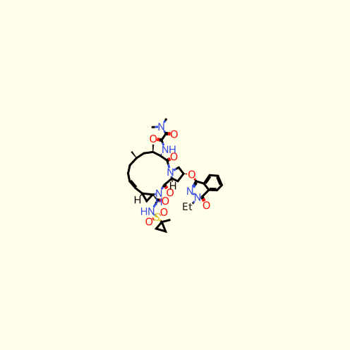 CCn1nc(O[C@@H]2C[C@H]3C(=O)N[C@]4(C(=O)NS(=O)(=O)C5(C)CC5)C[C@H]4/C=C\CC[C@@H](C)C[C@@H](C)[C@H](NC(=O)C(=O)N(C)C)C(=O)N3C2)c2ccccc2c1=O